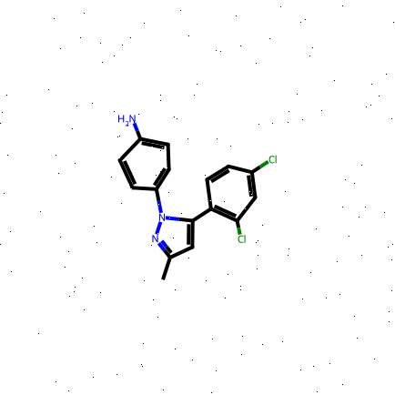 Cc1cc(-c2ccc(Cl)cc2Cl)n(-c2ccc(N)cc2)n1